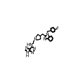 Fc1ccc(Cn2c(CC3CCN(CCNc4ncnc5[nH]cnc45)CC3)nc3ccccc32)cc1